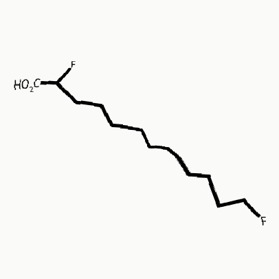 O=C(O)C(F)CCCCCCCCCCF